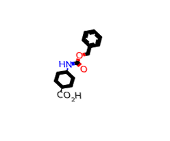 O=C(N[C@H]1CC[C@@H](C(=O)O)CC1)OCc1ccccc1